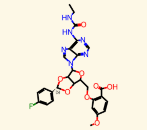 CCNC(=O)Nc1ncnc2c1ncn2C1OC(COc2cc(OC)ccc2C(=O)O)C2O[C@H](c3ccc(F)cc3)OC21